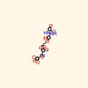 C=C(CCCOc1ccc(C2NC(=O)c3cc(OC)ccc3N2)cc1OC)Oc1c(OC)cc(C2=NOC(c3cc(OC)c(OC)c(OC)c3)C2)cc1OC